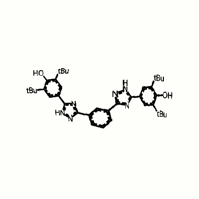 CC(C)(C)c1cc(-c2nc(-c3cccc(-c4n[nH]c(-c5cc(C(C)(C)C)c(O)c(C(C)(C)C)c5)n4)c3)n[nH]2)cc(C(C)(C)C)c1O